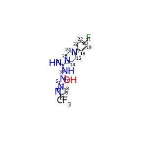 N=C(NCN(O)Cn1ccc(C(F)(F)F)n1)N1CCN(c2ccc(F)cc2)CC1